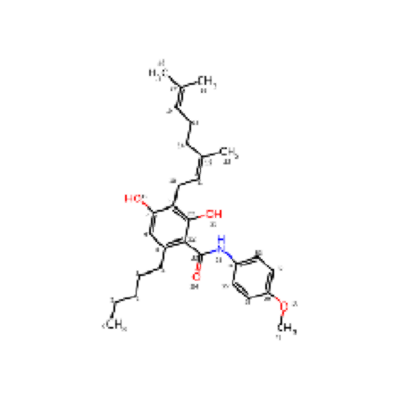 CCCCCc1cc(O)c(CC=C(C)CCC=C(C)C)c(O)c1C(=O)Nc1ccc(OC)cc1